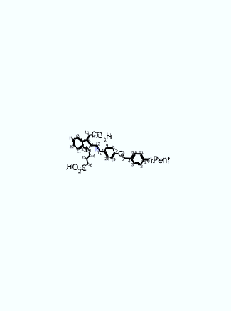 CCCCCc1ccc(COc2ccc(/C=C/c3c(CC(=O)O)c4ccccc4n3CCCC(=O)O)cc2)cc1